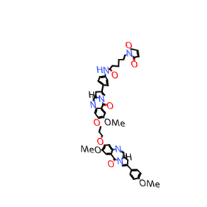 COc1ccc(C2=CN3C(=O)c4cc(OC)c(OCCCOc5cc6c(cc5OC)C(=O)N5C=C(c7ccc(NC(=O)CCCCCN8C(=O)C=CC8=O)cc7)C[C@H]5C=N6)cc4N=C[C@@H]3C2)cc1